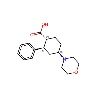 O=C(O)[C@@H]1CC[C@@H](N2CCOCC2)C[C@H]1c1ccccc1